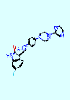 O=C1Nc2cc(F)ccc2C1=CNc1ccc(N2CCN(c3cnccn3)CC2)cc1